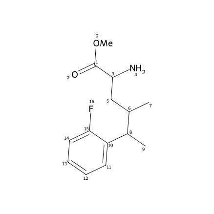 COC(=O)C(N)CC(C)C(C)c1ccccc1F